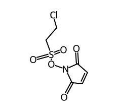 O=C1C=CC(=O)N1OS(=O)(=O)CCCl